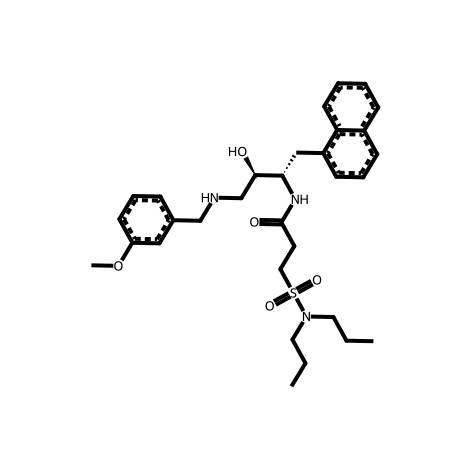 CCCN(CCC)S(=O)(=O)CCC(=O)N[C@@H](Cc1cccc2ccccc12)[C@H](O)CNCc1cccc(OC)c1